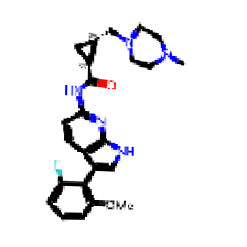 COc1cccc(F)c1-c1c[nH]c2nc(NC(=O)[C@H]3C[C@@H]3CN3CCN(C)CC3)ccc12